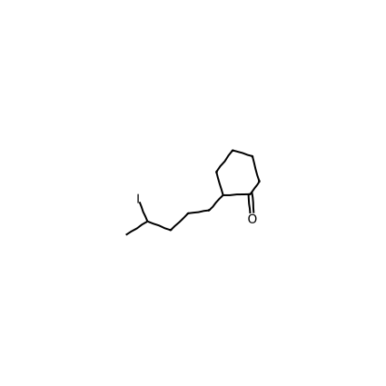 CC(I)CCCC1CCCCC1=O